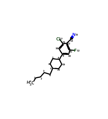 CCCCCC1CCC(c2cc(F)c(C#N)c(Cl)c2)CC1